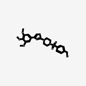 COc1cc(-c2csc(N3CCN(S(=O)(=O)c4ccc(CBr)cc4)CC3)n2)cc(OC)c1OC